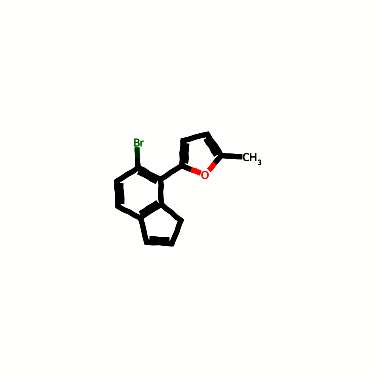 Cc1ccc(-c2c(Br)ccc3c2CC=C3)o1